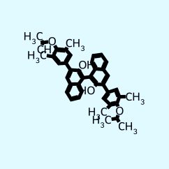 Cc1cc(-c2cc3ccccc3c(-c3c(O)c(-c4cc(C)c(OC(C)C)c(C)c4)cc4ccccc34)c2O)cc(C)c1OC(C)C